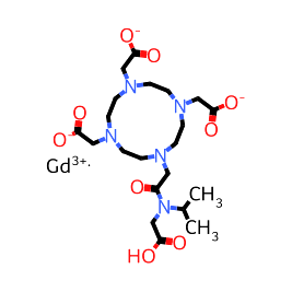 CC(C)N(CC(=O)O)C(=O)CN1CCN(CC(=O)[O-])CCN(CC(=O)[O-])CCN(CC(=O)[O-])CC1.[Gd+3]